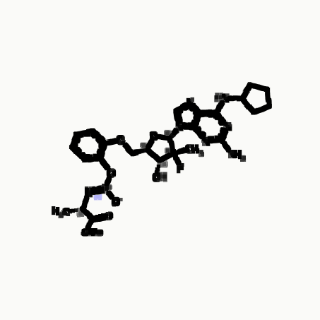 COC(=O)[C@H](C)/N=[P+](\[O-])Oc1ccccc1OC[C@H]1O[C@@H](n2cnc3c(NC4CCCC4)nc(N)nc32)[C@](C)(F)[C@@H]1O